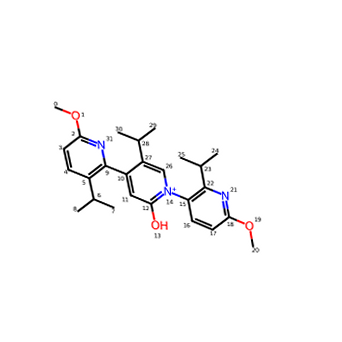 COc1ccc(C(C)C)c(-c2cc(O)[n+](-c3ccc(OC)nc3C(C)C)cc2C(C)C)n1